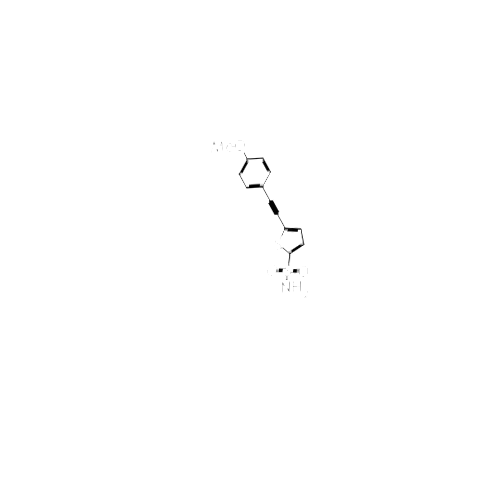 COc1ccc(C#Cc2ccc(S(N)(=O)=O)s2)cc1